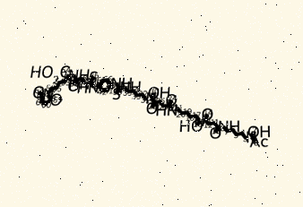 CC(=O)N(O)CCCCCNC(=O)CCC(=O)N(O)CCCCCNC(=O)CCC(=O)N(O)CCCCCNC(=S)Nc1ccc(NC(=S)NCC(=O)N[C@@H](CCCCN2C(=O)C=CC2=O)C(=O)O)cc1